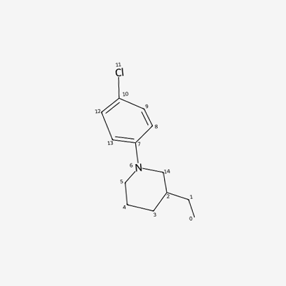 CCC1CCCN(c2ccc(Cl)cc2)C1